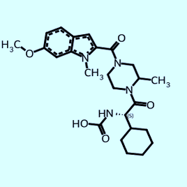 COc1ccc2cc(C(=O)N3CCN(C(=O)[C@@H](NC(=O)O)C4CCCCC4)C(C)C3)n(C)c2c1